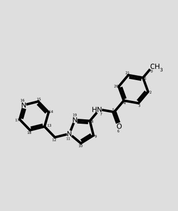 Cc1ccc(C(=O)Nc2ccn(Cc3ccncc3)n2)cc1